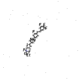 CCO/C(F)=C(\F)c1ccc(-c2cnc(-c3ccc(CCc4cc(F)c(F)c(F)c4)c(F)c3)nc2)cc1